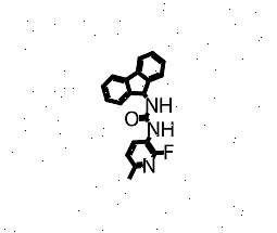 Cc1ccc(NC(=O)NC2c3ccccc3-c3ccccc32)c(F)n1